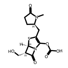 CN1C(=O)CC[C@@H]1CC1=C(OC(=O)O)N2C(=O)[C@H](CO)[C@H]2S1